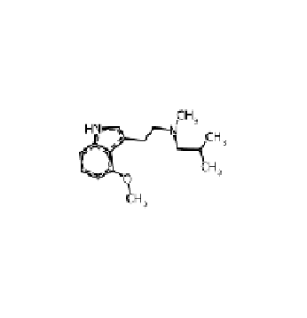 COc1cccc2[nH]cc(CCN(C)CC(C)C)c12